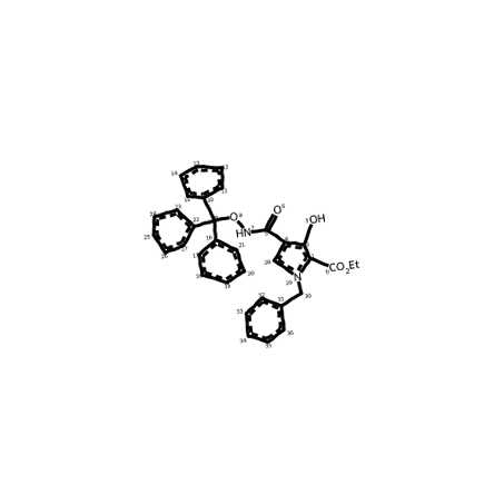 CCOC(=O)c1c(O)c(C(=O)NOC(c2ccccc2)(c2ccccc2)c2ccccc2)cn1Cc1ccccc1